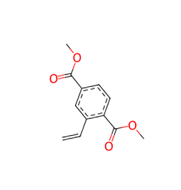 C=Cc1cc(C(=O)OC)ccc1C(=O)OC